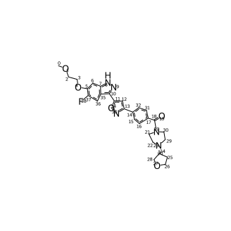 COCCOc1cc2[nH]nc(-c3cc(-c4ccc(C(=O)N5CCN([C@@H]6CCOC6)CC5)cc4)no3)c2cc1F